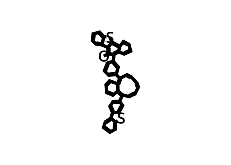 c1cccc(-c2ccc3oc4c(c3c2)c2ccccc2c2sc3ccccc3c42)c2ccccc2c(-c2ccc3c(c2)sc2ccccc23)cc1